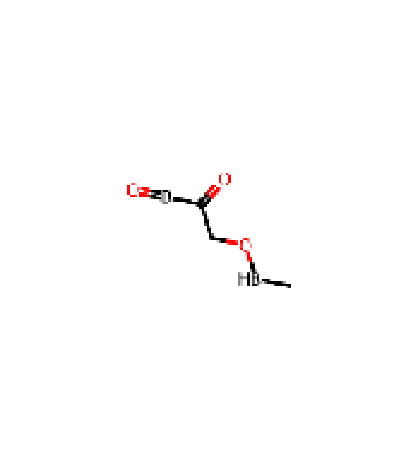 CBOCC(=O)B=O